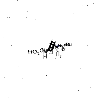 C/C(=N\[S+]([O-])C(C)(C)C)C12C3C4C1C1C2C3C41NC(=O)O